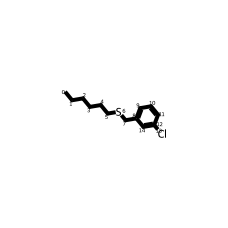 CCCCCCSCc1cccc(Cl)c1